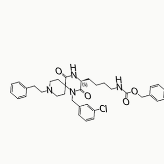 O=C(NCCCC[C@@H]1NC(=O)C2(CCN(CCc3ccccc3)CC2)N(Cc2cccc(Cl)c2)C1=O)OCc1ccccc1